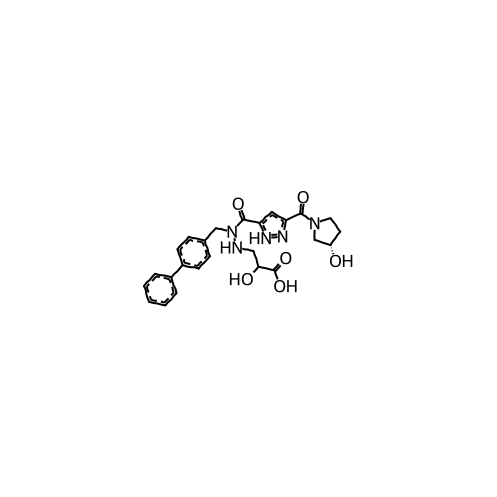 O=C(O)C(O)CNN(Cc1ccc(-c2ccccc2)cc1)C(=O)c1cc(C(=O)N2CC[C@H](O)C2)n[nH]1